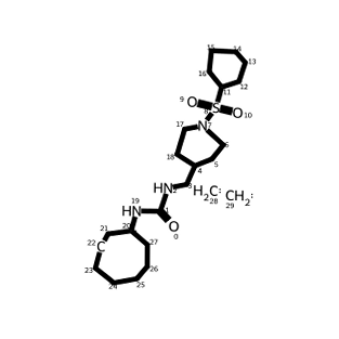 O=C(NCC1CCN(S(=O)(=O)C2CCCCC2)CC1)N[C]1CCCCCCC1.[CH2].[CH2]